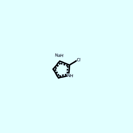 Clc1ccc[nH]1.[NaH]